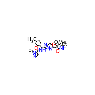 CC[C@@H]1CC(Cc2ccc3nc([C@@H](NC(=O)c4ccnn4CC)[C@H]4CC[C@H](C)CC4)cn3n2)(C(=O)OC)C(=O)N1